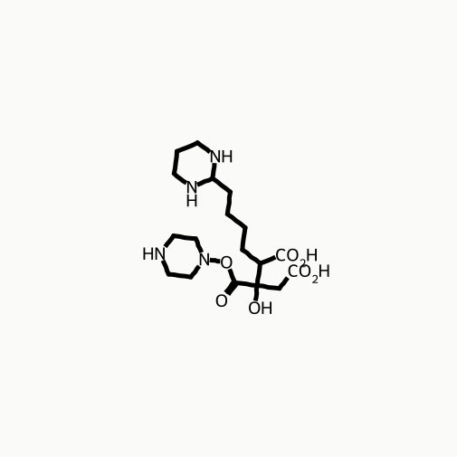 O=C(O)CC(O)(C(=O)ON1CCNCC1)C(CCCCC1NCCCN1)C(=O)O